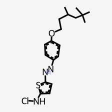 CC(CCOc1ccc(/N=N/c2ccc(NCl)s2)cc1)CC(C)(C)C